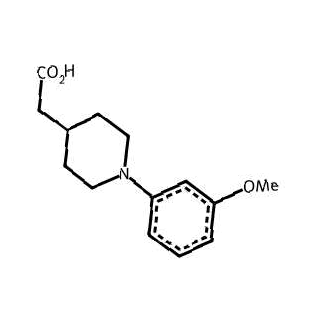 COc1cccc(N2CCC(CC(=O)O)CC2)c1